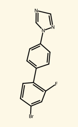 Fc1cc(Br)ccc1-c1ccc(-n2cncn2)cc1